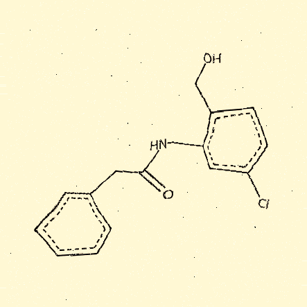 O=C(Cc1ccccc1)Nc1cc(Cl)ccc1CO